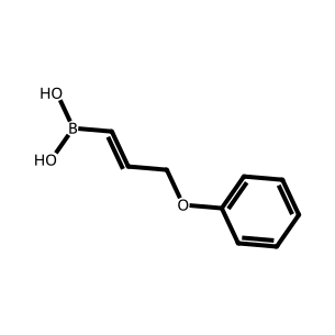 OB(O)/C=C/COc1ccccc1